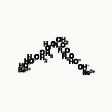 O.O.O.O.O.O.O.O.[Ba+2].[Ba+2].[OH-].[OH-].[OH-].[OH-]